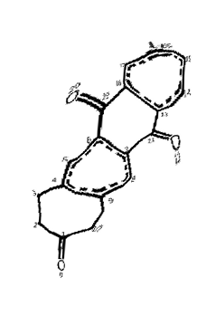 O=C1CCc2cc3c(cc2C1)C(=O)c1ccccc1C3=O